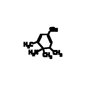 CC1=CC(C(C)(C)C)=CC(C)C1(C)N